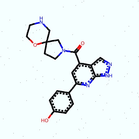 O=C(c1cc(-c2ccc(O)cc2)nc2[nH]ncc12)N1CCC2(CNCCO2)C1